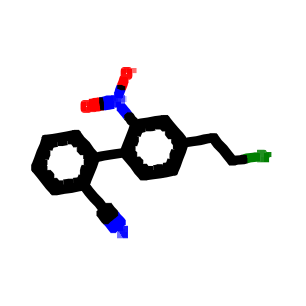 N#Cc1ccccc1-c1ccc(CCBr)cc1[N+](=O)[O-]